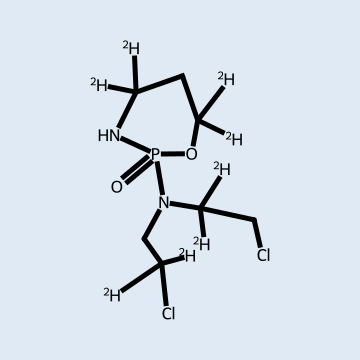 [2H]C([2H])(Cl)CN(C([2H])([2H])CCl)P1(=O)NC([2H])([2H])CC([2H])([2H])O1